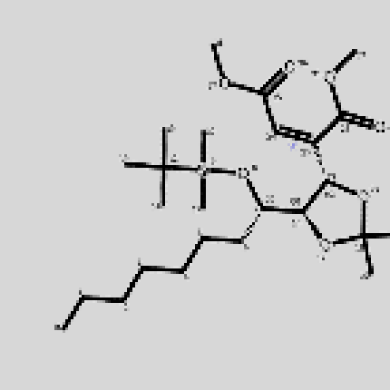 CCCCCCC[C@H](O[Si](C)(C)C(C)(C)C)[C@@H]1OC(C)(C)O[C@H]1/C(=C/C(=O)OC)C(=O)OC